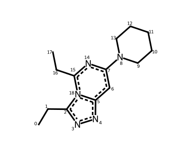 CCc1nnc2cc(N3CCCCC3)nc(CC)n12